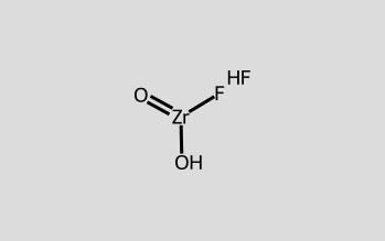 F.[O]=[Zr]([OH])[F]